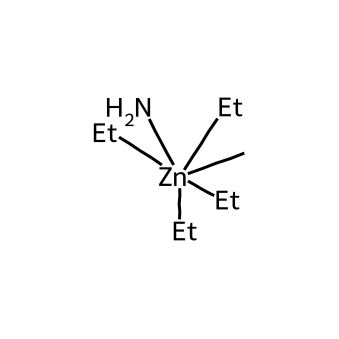 C[CH2][Zn]([CH3])([NH2])([CH2]C)([CH2]C)[CH2]C